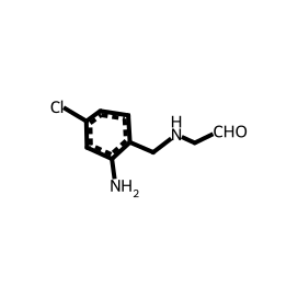 Nc1cc(Cl)ccc1CNCC=O